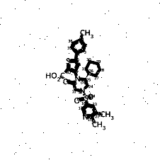 Cc1ccc(-c2cc(N3C(=O)CN(S(=O)(=O)c4cnc(C)c(C)c4)C[C@H]3C3CCCCC3)c(C(=O)O)s2)cc1